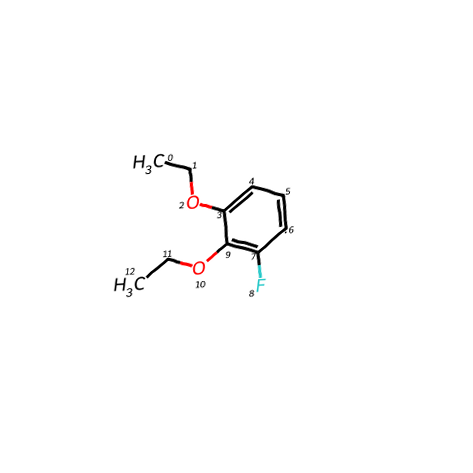 CCOc1cc[c]c(F)c1OCC